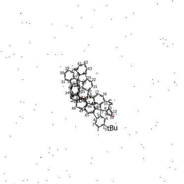 CC(C)(C)c1ccc2c(c1)C1(c3ccccc3Sc3ccc(N(c4ccc5c(c4)C4(c6ccccc6-c6ccccc64)c4ccccc4-5)c4cccc5sc6ccccc6c45)cc31)c1cc(C(C)(C)C)ccc1-2